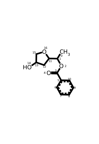 CC(OC(=O)c1ccccc1)C1CC(O)CO1